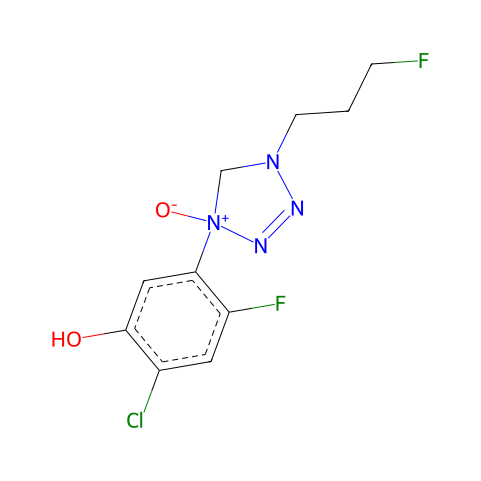 [O-][N+]1(c2cc(O)c(Cl)cc2F)CN(CCCF)N=N1